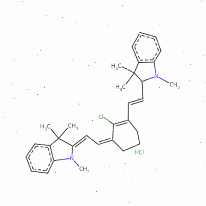 CN1C(=CC=C2CCCC(C=CC3N(C)c4ccccc4C3(C)C)=C2Cl)C(C)(C)c2ccccc21.Cl